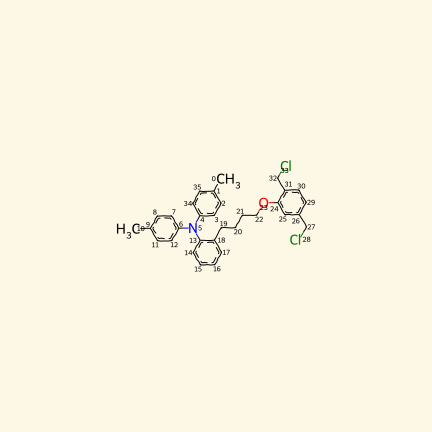 Cc1ccc(N(c2ccc(C)cc2)c2ccccc2CCCCOc2cc(CCl)ccc2CCl)cc1